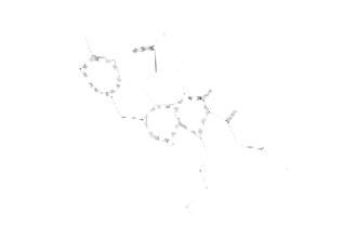 CCCCOc1c(C(=O)OCC)c(=O)[nH]c2c(O[C@@H](CC)C(=O)O)c(Cc3ccc(F)cc3)cnc12